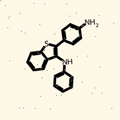 Nc1ccc(-c2sc3ccccc3c2Nc2ccccc2)cc1